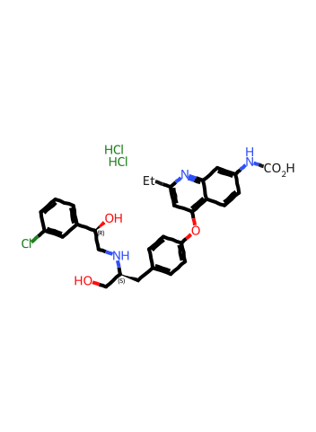 CCc1cc(Oc2ccc(C[C@@H](CO)NC[C@H](O)c3cccc(Cl)c3)cc2)c2ccc(NC(=O)O)cc2n1.Cl.Cl